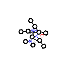 Cc1cc(-c2ccccc2)ccc1N1c2cc(N(c3ccccc3)c3ccccc3)ccc2Bc2c(-c3ccc(-c4ccccc4)cc3Nc3ccc(-c4ccccc4)cc3)cc3c(oc4ccccc43)c21